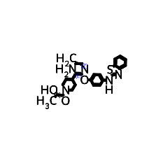 C=C/C=N\C(Oc1ccc(Nc2nc3ccccc3s2)cc1)=C(/N)C1CCN(C(=O)[C@@H](C)O)CC1